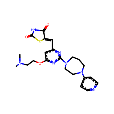 CN(C)CCOc1cc(/C=C2\SC(=O)NC2=O)nc(N2CCCN(c3ccncc3)CC2)n1